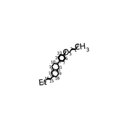 CC=CCOc1ccc(C2CCC3CC(C=CCC)CCC3C2)cc1